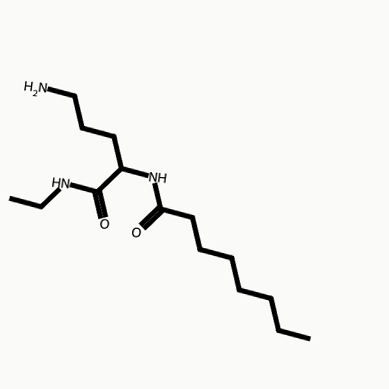 CCCCCCCC(=O)NC(CCCN)C(=O)NCC